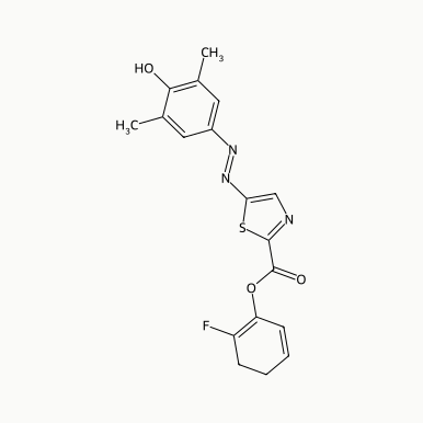 Cc1cc(/N=N/c2cnc(C(=O)OC3=C(F)CCC=C3)s2)cc(C)c1O